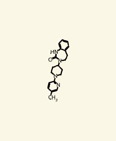 Cc1ccc(N2CCC(N3CCc4ccccc4NC3=O)CC2)nc1